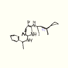 C/C(=C\C(I)NC1=C(Br)C=NC(NC(C)c2ccccc2)N1)C1CC1